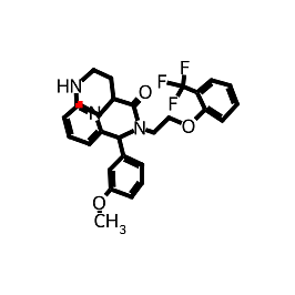 COc1cccc(C(c2ccccn2)N(CCOc2ccccc2C(F)(F)F)C(=O)C2CCNCC2)c1